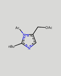 CCCCc1ncc(COC(C)=O)n1C(C)=O